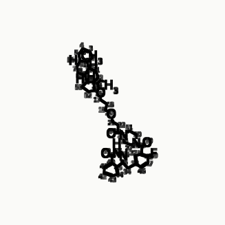 C[C@]12CCCC[C@@H]1CC[C@@H]1[C@@H]2CC[C@]2(C)[C@@H](OCCCOCCC(=O)N3CCN(C(=O)c4cc(Cc5n[nH]c(=O)c6ccccc56)ccc4F)CC3)CC[C@@H]12